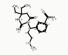 CCC1(CC)CC(=O)N([C@H](CCOC)c2cccc(C(N)=O)c2)C(=N)N1